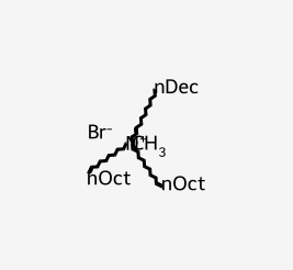 CCCCCCCC/C=C\CCCCCCCC[N+](C)(CC=CCCCCCCCCCCCCCCCCCC)CCCCCCCC/C=C\CCCCCCCC.[Br-]